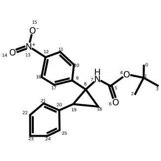 CC(C)(C)OC(=O)NC1(c2ccc([N+](=O)[O-])cc2)CC1c1ccccc1